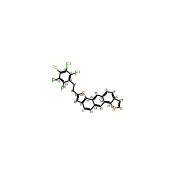 Fc1c(F)c(F)c(CCc2cc3ccc4cc5c(ccc6ccsc65)cc4c3s2)c(F)c1F